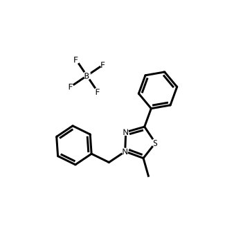 Cc1sc(-c2ccccc2)n[n+]1Cc1ccccc1.F[B-](F)(F)F